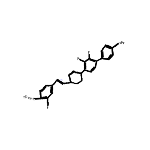 CCCCCc1ccc(/C=C/C2CCC(c3ccc(-c4ccc(CCC)cc4)c(F)c3F)CC2)cc1F